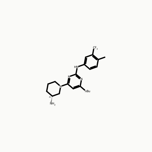 CCCCc1cc(N2CCC[C@@H](N)C2)nc(Nc2ccc(C)c(C(F)(F)F)c2)n1